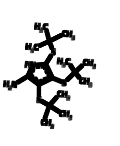 CC(C)(C)Sc1[nH]c(N)c(SC(C)(C)C)c1SC(C)(C)C